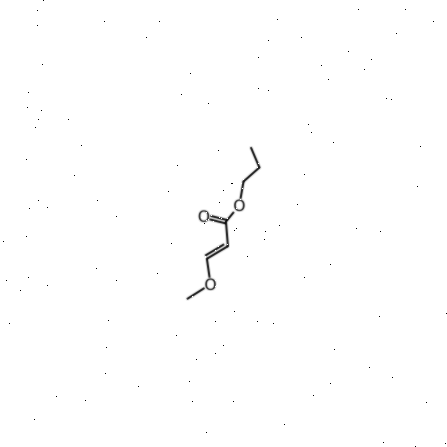 CCCOC(=O)C=COC